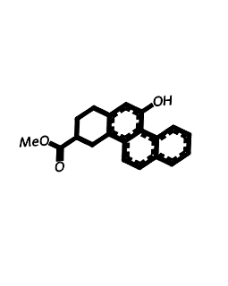 COC(=O)C1CCc2cc(O)c3c(ccc4ccccc43)c2C1